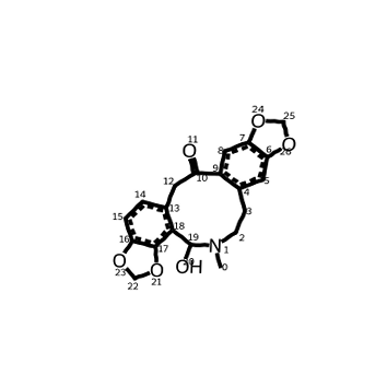 CN1CCc2cc3c(cc2C(=O)Cc2ccc4c(c2C1O)OCO4)OCO3